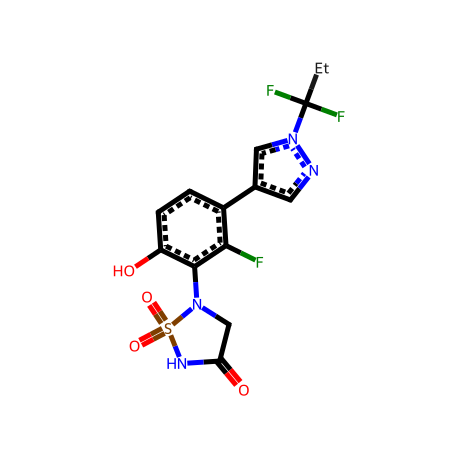 CCC(F)(F)n1cc(-c2ccc(O)c(N3CC(=O)NS3(=O)=O)c2F)cn1